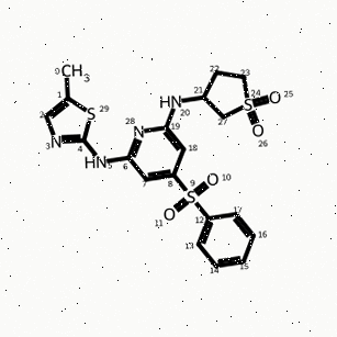 Cc1cnc(Nc2cc(S(=O)(=O)c3ccccc3)cc(NC3CCS(=O)(=O)C3)n2)s1